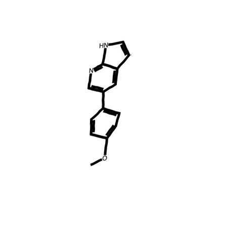 COc1ccc(-c2cnc3[nH]c[c]c3c2)cc1